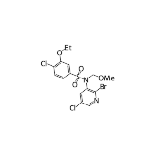 CCOc1cc(S(=O)(=O)N(COC)c2cc(Cl)cnc2Br)ccc1Cl